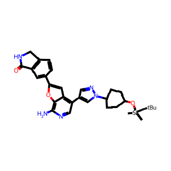 CC(C)(C)[Si](C)(C)OC1CCC(n2cc(-c3cnc(N)c4oc(-c5ccc6c(c5)C(=O)NC6)cc34)cn2)CC1